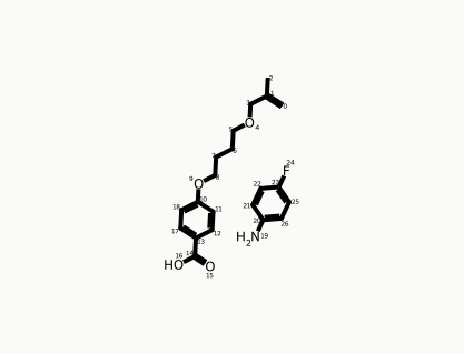 C=C(C)COCCCCOc1ccc(C(=O)O)cc1.Nc1ccc(F)cc1